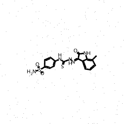 Cc1cccc2c1NC(=O)C2=NNC(=S)Nc1ccc(S(N)(=O)=O)cc1